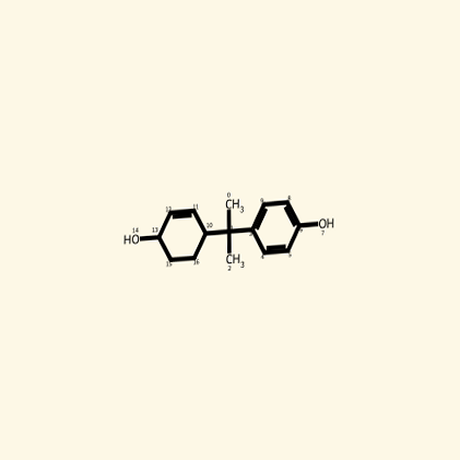 CC(C)(c1ccc(O)cc1)C1C=CC(O)CC1